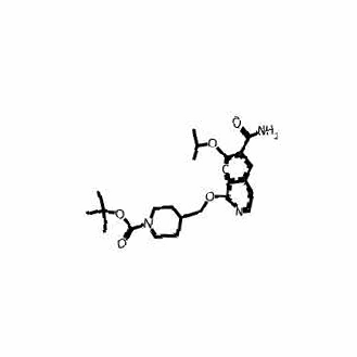 CC(C)Oc1cc2c(OCC3CCN(C(=O)OC(C)(C)C)CC3)nccc2cc1C(N)=O